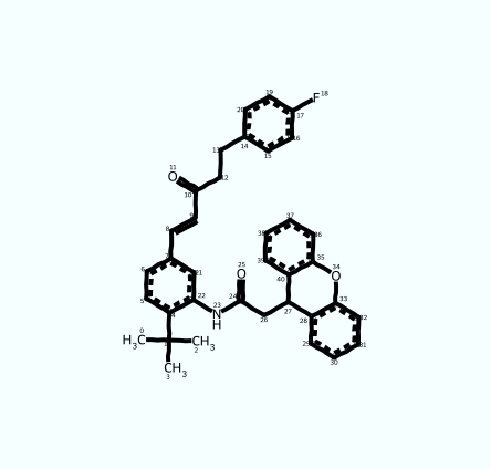 CC(C)(C)c1ccc(C=CC(=O)CCc2ccc(F)cc2)cc1NC(=O)CC1c2ccccc2Oc2ccccc21